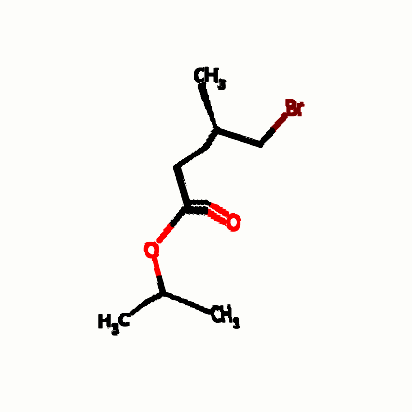 CC(C)OC(=O)C[C@@H](C)CBr